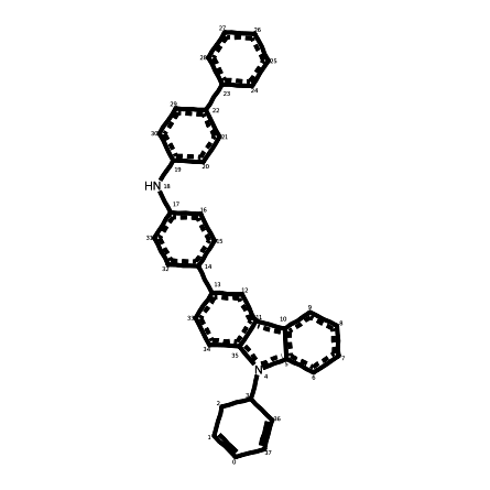 C1=CCC(n2c3ccccc3c3cc(-c4ccc(Nc5ccc(-c6ccccc6)cc5)cc4)ccc32)C=C1